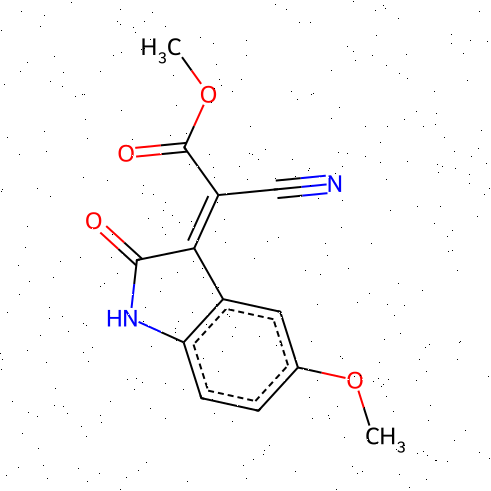 COC(=O)/C(C#N)=C1\C(=O)Nc2ccc(OC)cc21